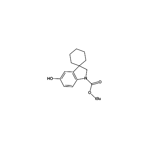 CC(C)(C)OC(=O)N1CC2(CCCCC2)c2cc(O)ccc21